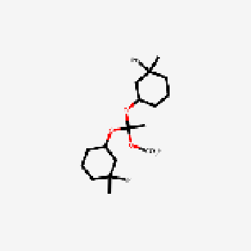 CC(C)C1(C)CCCC(OC(C)(OC(=O)O)OC2CCCC(C)(C(C)C)C2)C1